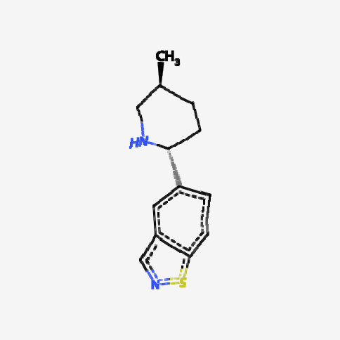 C[C@H]1CC[C@H](c2ccc3sncc3c2)NC1